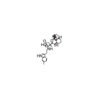 Cc1ccc2c(CCNC(=O)[C@](C)(CC(=O)O)[C@H]3O[C@@H]4OC5CC[C@@H]6CCC[C@@H]([C@H]3C)[C@]64OO5)c[nH]c2c1